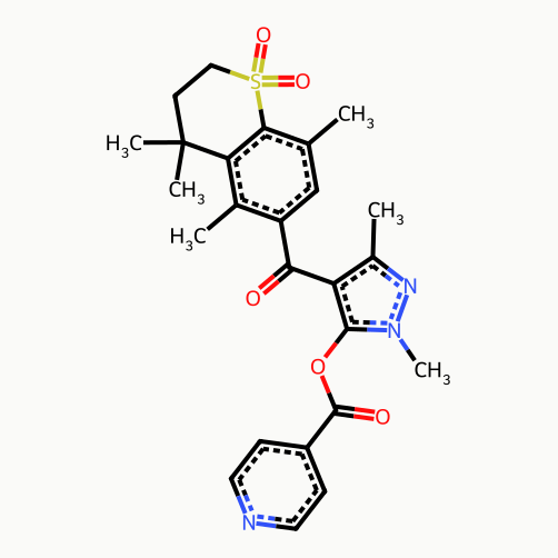 Cc1cc(C(=O)c2c(C)nn(C)c2OC(=O)c2ccncc2)c(C)c2c1S(=O)(=O)CCC2(C)C